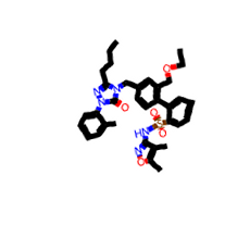 CCCCc1nn(-c2ccccc2C)c(=O)n1Cc1ccc(-c2ccccc2S(=O)(=O)Nc2noc(C)c2C)c(COCC)c1